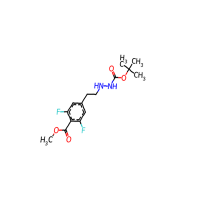 COC(=O)c1c(F)cc(CCNNC(=O)OC(C)(C)C)cc1F